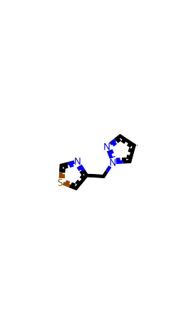 [c]1cnn(Cc2cscn2)c1